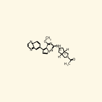 COc1nc(N[C@@H]2C[C@@H]3CN(C(C)=O)C[C@@H]3C2)nn2ccc(-c3ccc4nccnc4c3)c12